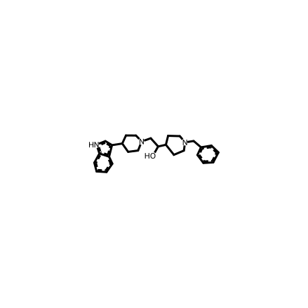 OC(CN1CCC(c2c[nH]c3ccccc23)CC1)C1CCN(Cc2ccccc2)CC1